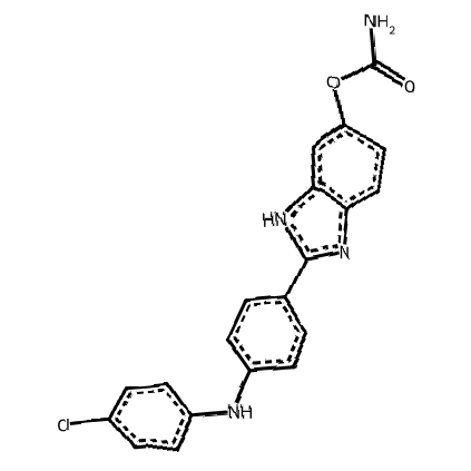 NC(=O)Oc1ccc2nc(-c3ccc(Nc4ccc(Cl)cc4)cc3)[nH]c2c1